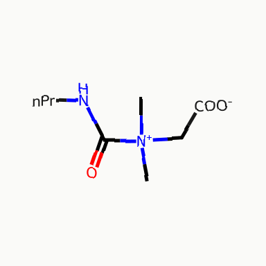 CCCNC(=O)[N+](C)(C)CC(=O)[O-]